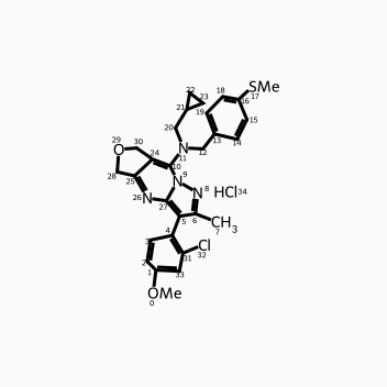 COc1ccc(-c2c(C)nn3c(N(Cc4ccc(SC)cc4)CC4CC4)c4c(nc23)COC4)c(Cl)c1.Cl